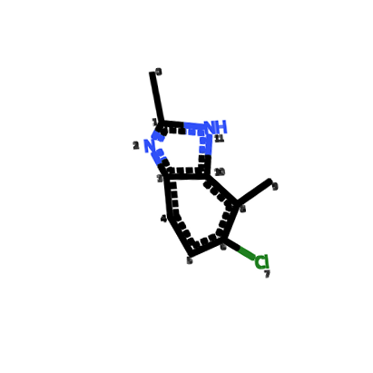 Cc1nc2ccc(Cl)c(C)c2[nH]1